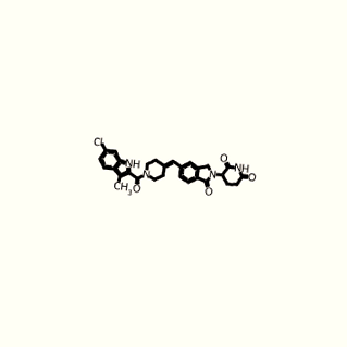 Cc1c(C(=O)N2CCC(=Cc3ccc4c(c3)CN(C3CCC(=O)NC3=O)C4=O)CC2)[nH]c2cc(Cl)ccc12